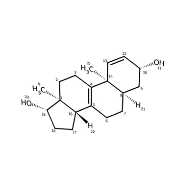 C[C@]12CCC3=C(CC[C@@H]4C[C@@H](O)C=C[C@]34C)[C@@H]1CC[C@@H]2O